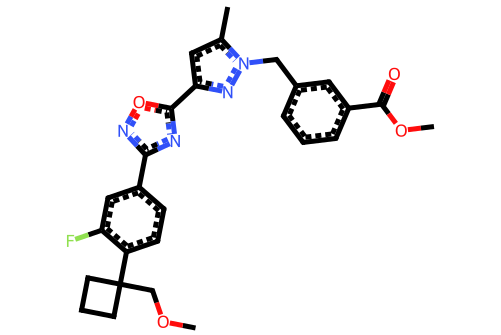 COCC1(c2ccc(-c3noc(-c4cc(C)n(Cc5cccc(C(=O)OC)c5)n4)n3)cc2F)CCC1